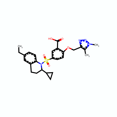 CCc1ccc2c(c1)CCC(C1CC1)N2S(=O)(=O)c1ccc(OCc2nnn(C)c2C)c(C(=O)O)c1